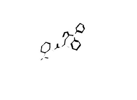 C[C@@H](NC(=S)N[C@H]1CCCC[C@@H]1N(C)C)[C@@H]1C=CC=C1P(c1ccccc1)c1ccccc1